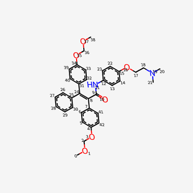 COCOc1ccc(/C(C(=O)Nc2ccc(OCCN(C)C)cc2)=C(\c2ccccc2)c2ccc(OCOC)cc2)cc1